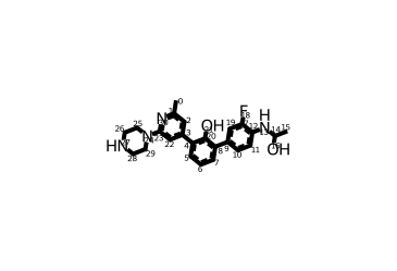 Cc1cc(-c2cccc(-c3ccc(NC(C)O)c(F)c3)c2O)cc(N2CCNCC2)n1